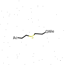 COCCSCCC(C)=O